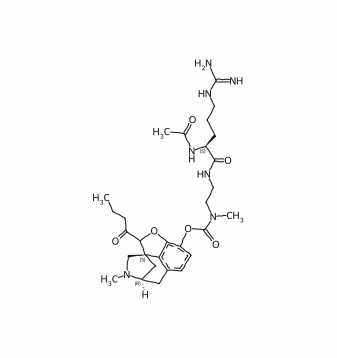 CCCC(=O)C1Oc2c(OC(=O)N(C)CCNC(=O)[C@H](CCCNC(=N)N)NC(C)=O)ccc3c2[C@]12C[C@@H](C3)N(C)C2